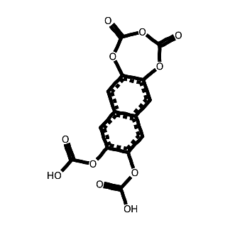 O=C(O)Oc1cc2cc3c(cc2cc1OC(=O)O)OC(=O)OC(=O)O3